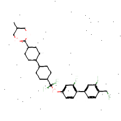 CC1COC(C2CCC(C3CCC(C(F)(F)Oc4ccc(-c5ccc(CF)c(F)c5)c(F)c4)CC3)CC2)OC1